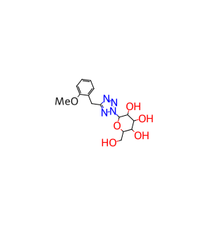 COc1ccccc1Cc1nnn(C2OC(CO)C(O)C(O)C2O)n1